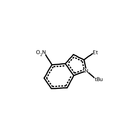 CCc1cc2c([N+](=O)[O-])cccc2n1C(C)(C)C